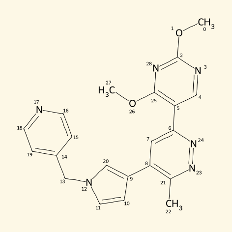 COc1ncc(-c2cc(-c3ccn(Cc4ccncc4)c3)c(C)nn2)c(OC)n1